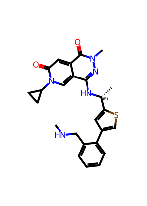 CNCc1ccccc1-c1csc([C@@H](C)Nc2nn(C)c(=O)c3cc(=O)n(C4CC4)cc23)c1